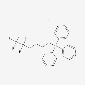 FC(F)(F)C(F)(F)CCCC[P+](c1ccccc1)(c1ccccc1)c1ccccc1.[I-]